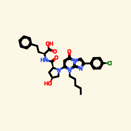 CCCCCn1c(N2C[C@@H](O)C[C@H]2C(=O)N[C@@H](CCc2ccccc2)C(=O)O)cc(=O)n2cc(-c3ccc(Cl)cc3)nc12